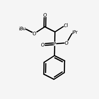 CCC(C)OC(=O)C(Cl)P(=O)(OC(C)C)c1ccccc1